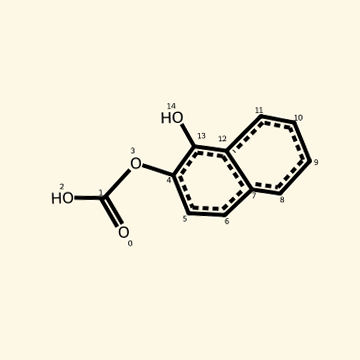 O=C(O)Oc1ccc2ccccc2c1O